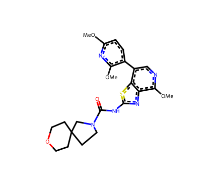 COc1ccc(-c2cnc(OC)c3nc(NC(=O)N4CCC5(CCOCC5)C4)sc23)c(OC)n1